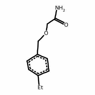 CCc1ccc(COCC(N)=O)cc1